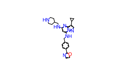 c1coc(-c2ccc(CNc3cc(NCC4CCNCC4)nc4c(C5CC5)cnn34)cc2)n1